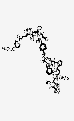 CC[C@H](C)[C@@H]([C@@H](CC(=O)N1CCC[C@H]1[C@H](OC)[C@@H](C)C(=O)N[C@@H](Cc1ccccc1)C(=O)NOCc1ccc(NC(=O)[C@@H](C)NC(=O)[C@H](NC(=O)CCCC(=O)N2CCC(C(=O)O)CC2)C(C)C)cc1)OC)N(C)C(=O)[C@@H](NC(=O)[C@H](C(C)C)N(C)C)C(C)C